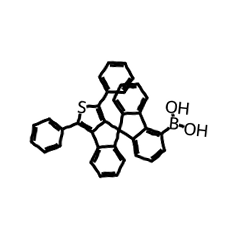 OB(O)c1cccc2c1-c1ccccc1C21c2ccccc2-c2c(-c3ccccc3)sc(-c3ccccc3)c21